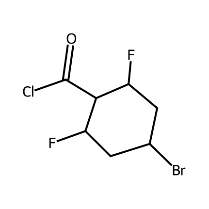 O=C(Cl)C1C(F)CC(Br)CC1F